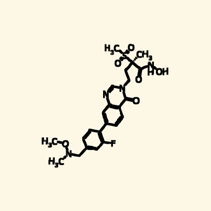 CON(C)Cc1ccc(-c2ccc3c(=O)n(CC[C@](C)(C(=O)NO)S(C)(=O)=O)cnc3c2)c(F)c1